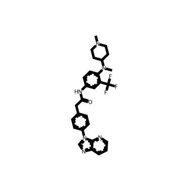 CN1CCC(N(C)c2ccc(NC(=O)Cc3ccc(-n4cnc5cccnc54)cc3)cc2C(F)(F)F)CC1